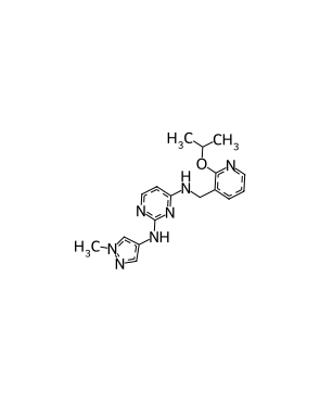 CC(C)Oc1ncccc1CNc1ccnc(Nc2cnn(C)c2)n1